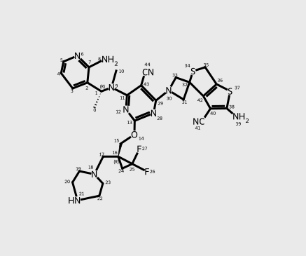 C[C@H](c1cccnc1N)N(C)c1nc(OC[C@]2(CN3CCNCC3)CC2(F)F)nc(N2CC3(C2)SCc2sc(N)c(C#N)c23)c1C#N